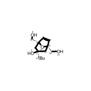 CC(C)(C)[C@]1(O)C[C@@]2(CO)C=C[C@@](CO)(C1)O2